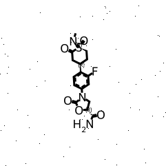 CN=[S@@]1(=O)CC[C@@H](c2ccc(N3C[C@H](C(N)=O)OC3=O)cc2F)CC1=O